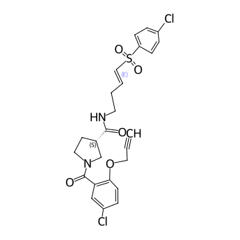 C#CCOc1ccc(Cl)cc1C(=O)N1CC[C@H](C(=O)NCC/C=C/S(=O)(=O)c2ccc(Cl)cc2)C1